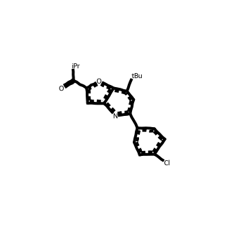 CC(C)C(=O)c1cc2nc(-c3ccc(Cl)cc3)cc(C(C)(C)C)c2o1